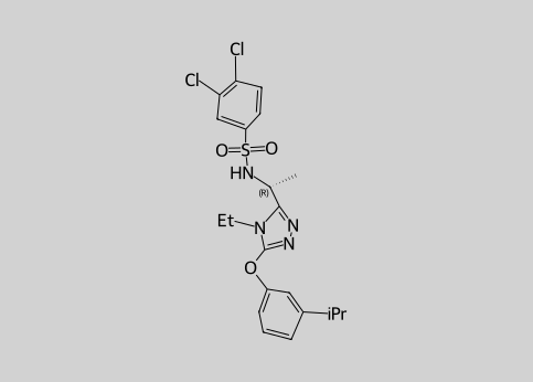 CCn1c(Oc2cccc(C(C)C)c2)nnc1[C@@H](C)NS(=O)(=O)c1ccc(Cl)c(Cl)c1